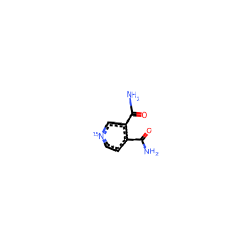 NC(=O)c1cc[15n]cc1C(N)=O